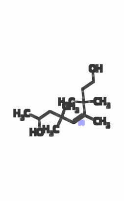 C/C(=C/C(C)(C)CC(C)O)C(C)(C)CCO